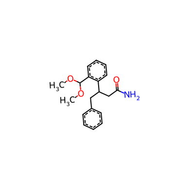 COC(OC)c1ccccc1C(CC(N)=O)Cc1ccccc1